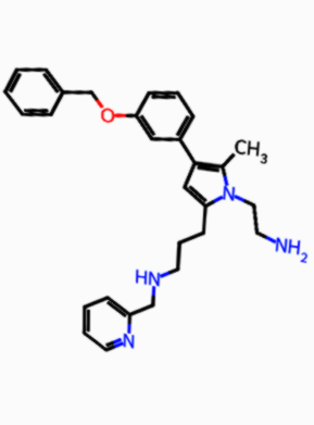 Cc1c(-c2cccc(OCc3ccccc3)c2)cc(CCCNCc2ccccn2)n1CCN